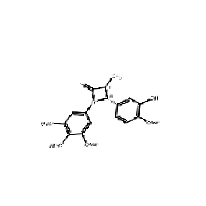 COc1ccc([C@H]2[C@H](C)C(=O)N2c2cc(OC)c(OC)c(OC)c2)cc1O